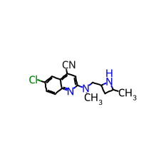 CC1CC(CN(C)c2cc(C#N)c3cc(Cl)ccc3n2)N1